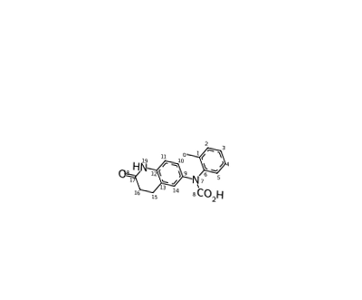 Cc1ccccc1N(C(=O)O)c1ccc2c(c1)CCC(=O)N2